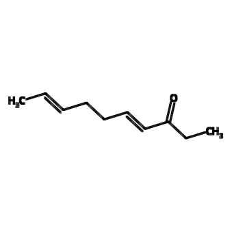 CC=CCCC=CC(=O)CC